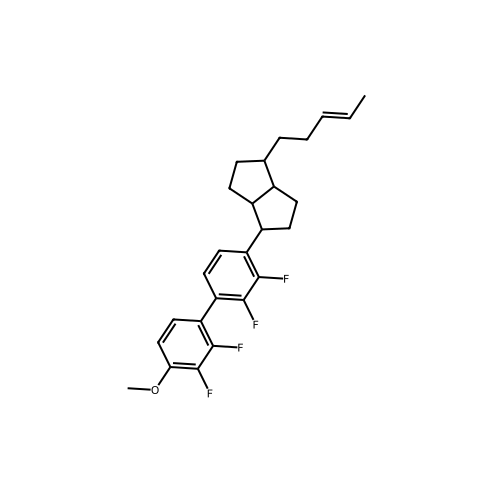 C/C=C/CCC1CCC2C(c3ccc(-c4ccc(OC)c(F)c4F)c(F)c3F)CCC12